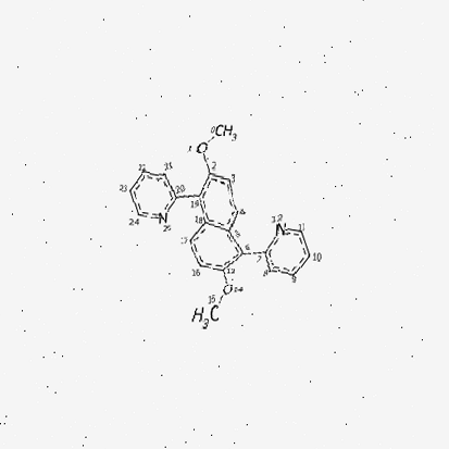 COc1ccc2c(-c3ccccn3)c(OC)ccc2c1-c1ccccn1